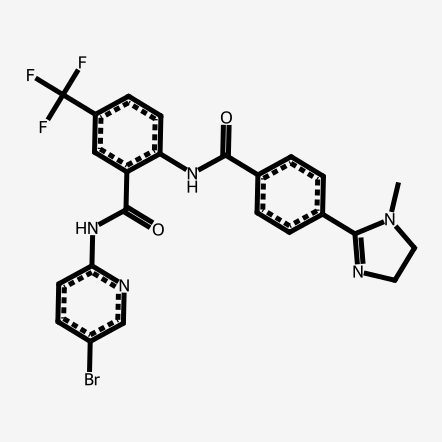 CN1CCN=C1c1ccc(C(=O)Nc2ccc(C(F)(F)F)cc2C(=O)Nc2ccc(Br)cn2)cc1